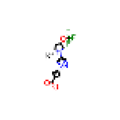 O=C([O-])C12CC(n3cc(N4CCC(OC(F)(F)F)C4)cn3)(C1)C2.[K+]